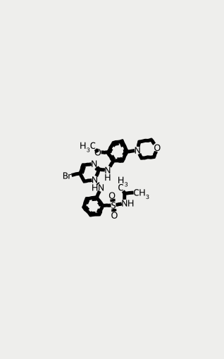 COc1ccc(N2CCOCC2)cc1NC1=NC=C(Br)CN1Nc1ccccc1S(=O)(=O)NC(C)C